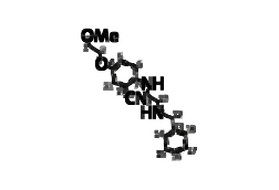 COCCOc1ccc(NCCNCc2ccccc2)c(C#N)c1